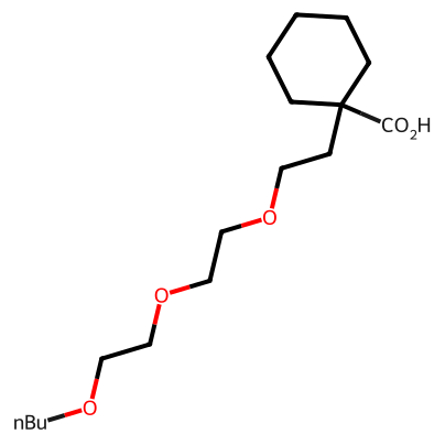 CCCCOCCOCCOCCC1(C(=O)O)CCCCC1